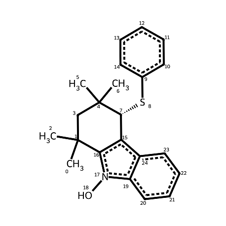 CC1(C)CC(C)(C)[C@H](Sc2ccccc2)c2c1n(O)c1ccccc21